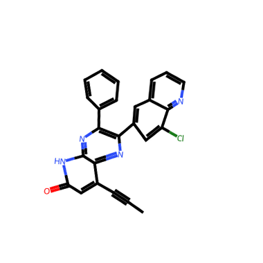 CC#Cc1cc(=O)[nH]c2nc(-c3ccccc3)c(-c3cc(Cl)c4ncccc4c3)nc12